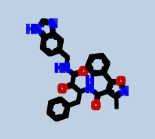 Cc1noc(-c2ccccc2)c1C(=O)NC(Cc1ccccc1)C(=O)C(=O)NCc1ccc2[nH]cnc2c1